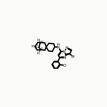 CC1[C@@H]2CCC[C@H]1CC1(CCC(Nc3cc(-c4ccccc4Cl)nc4c(Br)cnn34)CC1)C2